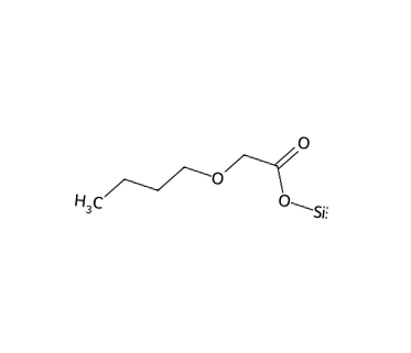 CCCCOCC(=O)O[Si]